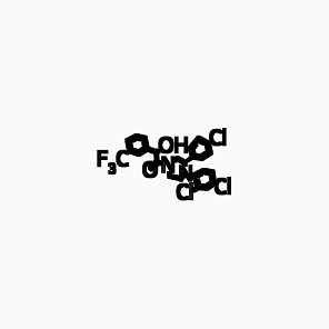 O=C(C(O)c1cccc(C(F)(F)F)c1)N1CCN(c2ccc(Cl)cc2Cl)[C@H](c2ccc(Cl)cc2)C1